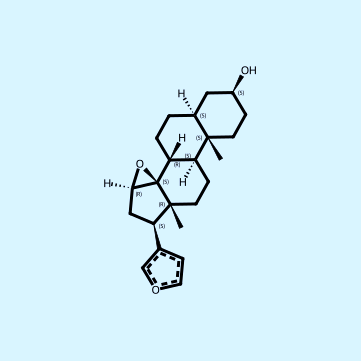 C[C@]12CC[C@H](O)C[C@@H]1CC[C@@H]1[C@@H]2CC[C@]2(C)[C@@H](c3ccoc3)C[C@H]3O[C@]132